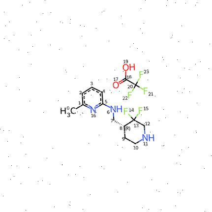 Cc1cccc(NC[C@H]2CCNCC2(F)F)n1.O=C(O)C(F)(F)F